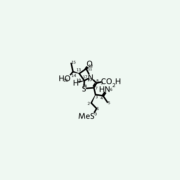 CSCC[C@H](C(C)=N)C1=C(C(=O)O)N2C(=O)[C@H](C(C)O)[C@H]2S1